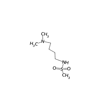 CN(C)CCCCNS(C)(=O)=O